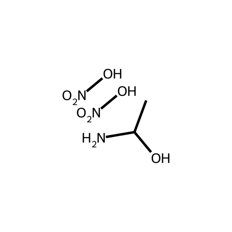 CC(N)O.O=[N+]([O-])O.O=[N+]([O-])O